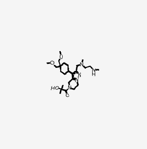 CNCCN(C)Cc1nn2c(c1C1CCC(COC)(COC)CC1)CN(C(=O)C(C)(C)O)CC2